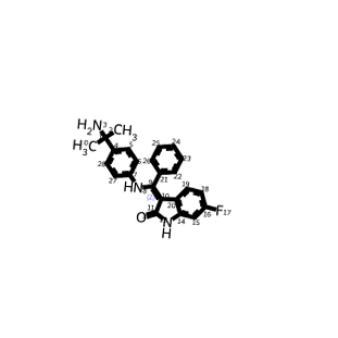 CC(C)(N)c1ccc(N/C(=C2\C(=O)Nc3cc(F)ccc32)c2ccccc2)cc1